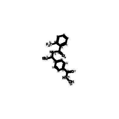 CC(C)(C)C(NC(=O)c1ccccc1C(F)(F)F)c1ccc(C(=O)NO)cc1